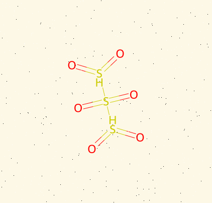 O=[SH](=O)S(=O)(=O)[SH](=O)=O